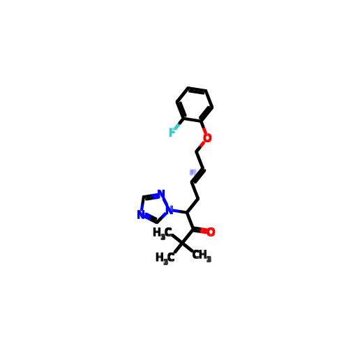 CC(C)(C)C(=O)C(C/C=C/COc1ccccc1F)n1cncn1